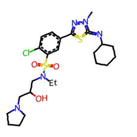 CCN(CC(O)CN1CCCC1)S(=O)(=O)c1cc(-c2nn(C)c(=NC3CCCCC3)s2)ccc1Cl